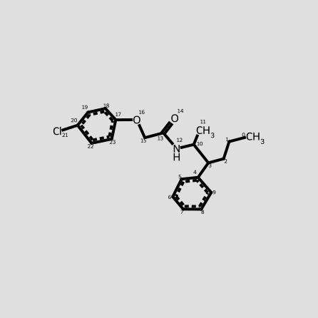 CCCC(c1ccccc1)C(C)NC(=O)COc1ccc(Cl)cc1